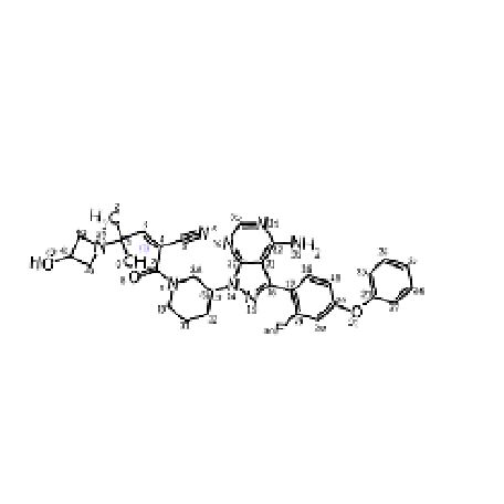 CC(C)(/C=C(/C#N)C(=O)N1CCC[C@H](n2nc(-c3ccc(Oc4ccccc4)cc3F)c3c(N)ncnc32)C1)N1CC(O)C1